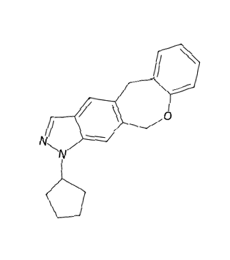 c1ccc2c(c1)Cc1cc3cnn(C4CCCC4)c3cc1CO2